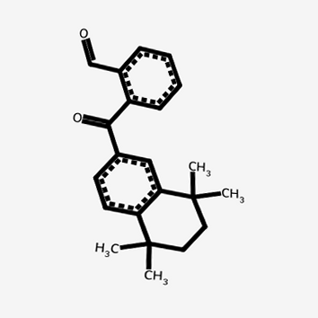 CC1(C)CCC(C)(C)c2cc(C(=O)c3ccccc3C=O)ccc21